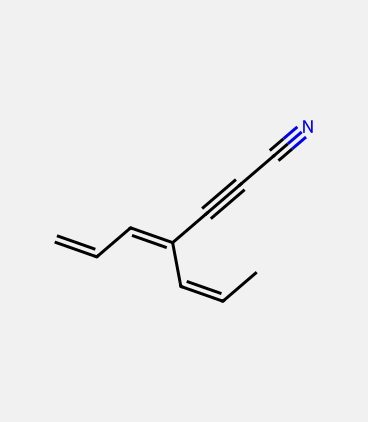 C=C/C=C(C#CC#N)\C=C/C